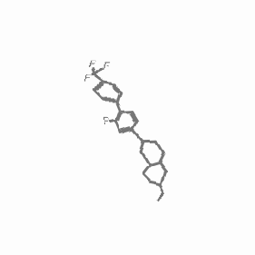 CCC1CCC2CC(c3ccc(-c4ccc(C(F)(F)F)cc4)c(F)c3)CCC2C1